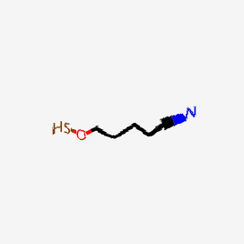 N#CCCCCOS